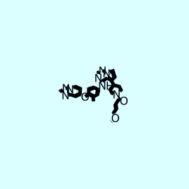 COC/C=C/C(=O)N1CCC(c2ccn3ncnc(Nc4ccc(Oc5ccn6ncnc6c5)c(C)c4)c23)CC1